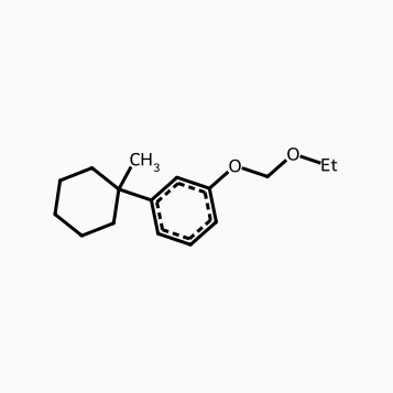 CCOCOc1cccc(C2(C)CCCCC2)c1